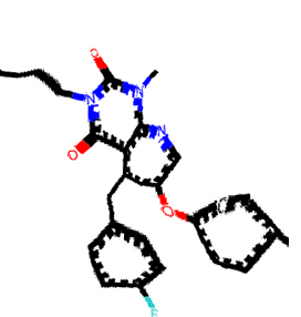 Cc1ccc(Oc2cnc3c(c2Cc2ccc(F)cc2)c(=O)n(CCCO)c(=O)n3C)cc1